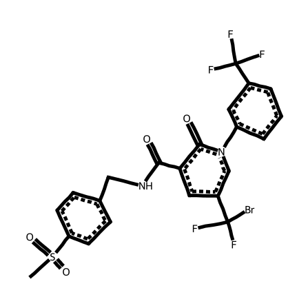 CS(=O)(=O)c1ccc(CNC(=O)c2cc(C(F)(F)Br)cn(-c3cccc(C(F)(F)F)c3)c2=O)cc1